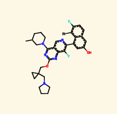 CCc1c(F)ccc2cc(O)cc(-c3ncc4c(N5CCCC(C)C5)nc(OCC5(CN6CCCC6)CC5)nc4c3F)c12